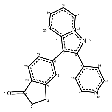 O=C1CCc2cc(-c3c(-c4ccncc4)nn4cccnc34)ccc21